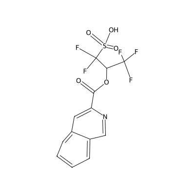 O=C(OC(C(F)(F)F)C(F)(F)S(=O)(=O)O)c1cc2ccccc2cn1